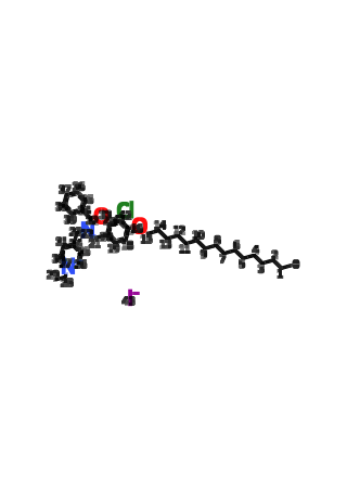 CCCCCCCCCCCCCCCCOc1ccc(CN(Cc2cc[n+](CC)cc2)C(=O)c2ccccc2)cc1Cl.[I-]